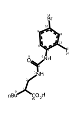 CCCCC(CNC(=O)Nc1ccc(Br)cc1F)C(=O)O